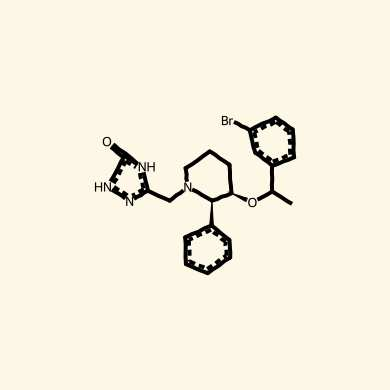 CC(O[C@@H]1CCCN(Cc2n[nH]c(=O)[nH]2)[C@@H]1c1ccccc1)c1cccc(Br)c1